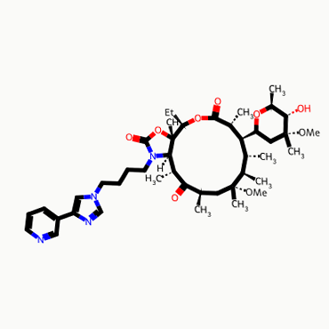 CC[C@H]1OC(=O)[C@H](C)[C@@H](C2C[C@@](C)(OC)[C@@H](O)[C@H](C)O2)[C@H](C)[C@@H](C)[C@](C)(OC)C[C@@H](C)C(=O)[C@H](C)[C@H]2N(CCCCn3cnc(-c4cccnc4)c3)C(=O)O[C@]12C